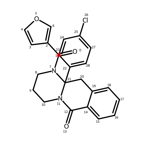 O=C(c1ccoc1)N1CCCN2C(=O)c3ccccc3CC12c1ccc(Cl)cc1